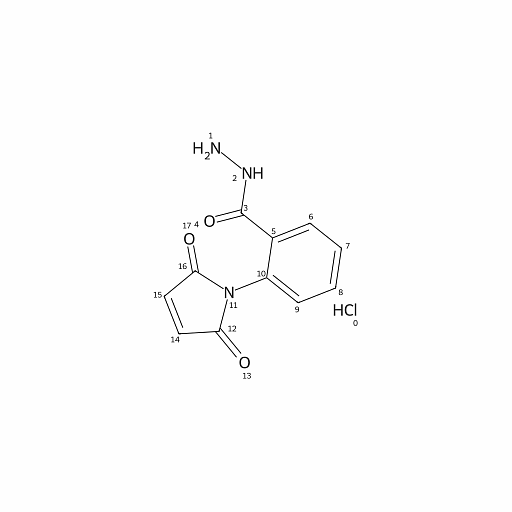 Cl.NNC(=O)c1ccccc1N1C(=O)C=CC1=O